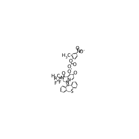 Cc1cc([N+](=O)[O-])ccc1OC(=O)OCOc1c2n(ccc1=O)N([C@H]1c3ccccc3CSc3ccccc31)CN([C@H](C)C(F)(F)F)C2=O